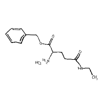 CCNC(=O)CCC(N)C(=O)OCc1ccccc1.Cl